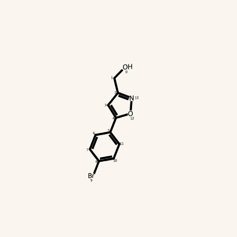 OCc1cc(-c2ccc(Br)cc2)on1